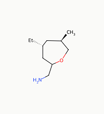 CC[C@H]1CC(CN)OC[C@H](C)C1